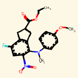 CCOC(=O)C1Cc2c(F)cc([N+](=O)[O-])c(N(C)c3ccc(OC)cc3)c2C1